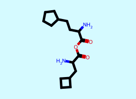 NC(CCC1CCCC1)C(=O)OC(=O)C(N)CC1CCC1